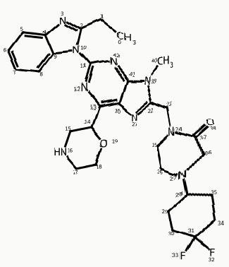 CCc1nc2ccccc2n1-c1nc(C2CNCCO2)c2nc(CN3CCN(C4CCC(F)(F)CC4)CC3=O)n(C)c2n1